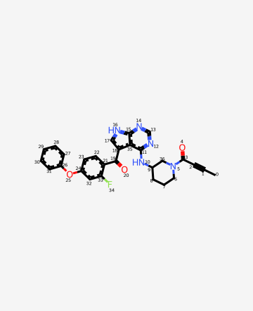 CC#CC(=O)N1CCCC(Nc2ncnc3[nH]cc(C(=O)c4ccc(Oc5ccccc5)cc4F)c23)C1